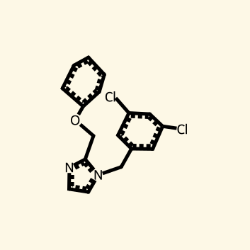 Clc1cc(Cl)cc(Cn2ccnc2COc2ccccc2)c1